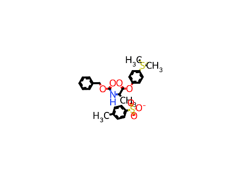 CC(NC(=O)OCc1ccccc1)C(=O)Oc1ccc([S+](C)C)cc1.Cc1ccc(S(=O)(=O)[O-])cc1